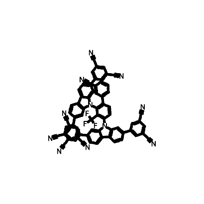 N#Cc1cc(C#N)cc(-c2ccc3c4ccc(-c5cc(C#N)cc(C#N)c5)cc4n(-c4ccc(-c5cccc(C#N)c5)c(-n5c6cc(-c7cc(C#N)cc(C#N)c7)ccc6c6ccc(-c7cc(C#N)cc(C#N)c7)cc65)c4C(F)(F)F)c3c2)c1